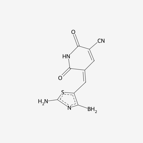 Bc1nc(N)sc1/C=C1/C=C(C#N)C(=O)NC1=O